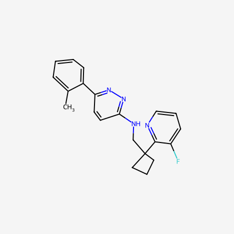 Cc1ccccc1-c1ccc(NCC2(c3ncccc3F)CCC2)nn1